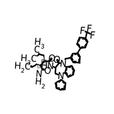 C=CC[C@H](C(N)=O)[C@@H](CC(C)C)C(=O)NC1CN(c2ccccc2)c2ccccc2N(Cc2cccc(-c3ccc(C(F)(F)F)cc3)c2)C1=O